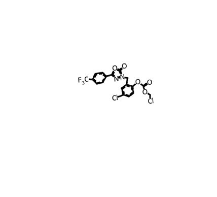 O=C(OCCl)Oc1ccc(Cl)cc1Cn1nc(-c2ccc(C(F)(F)F)cc2)oc1=O